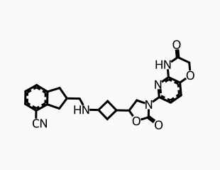 N#Cc1cccc2c1CC(CNC1CC(C3CN(c4ccc5c(n4)NC(=O)CO5)C(=O)O3)C1)C2